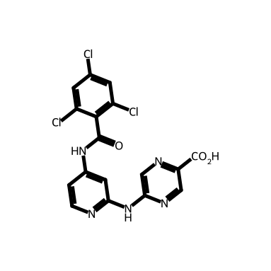 O=C(O)c1cnc(Nc2cc(NC(=O)c3c(Cl)cc(Cl)cc3Cl)ccn2)cn1